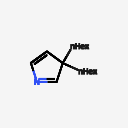 CCCCCCC1(CCCCCC)C=CN=C1